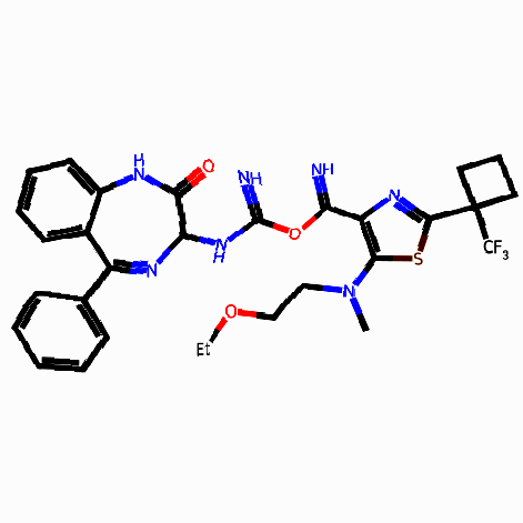 CCOCCN(C)c1sc(C2(C(F)(F)F)CCC2)nc1C(=N)OC(=N)NC1N=C(c2ccccc2)c2ccccc2NC1=O